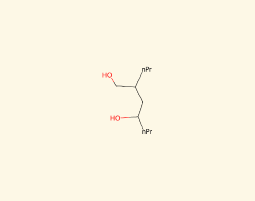 CCCC(O)CC(CO)CCC